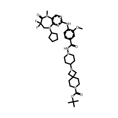 COc1cc(C(=O)NN2CCC(N3CC4(CCN(C(=O)OC(C)(C)C)CC4)C3)CC2)ccc1Nc1ncc2c(n1)N(C1CCCC1)CC(F)(F)C(=O)N2C